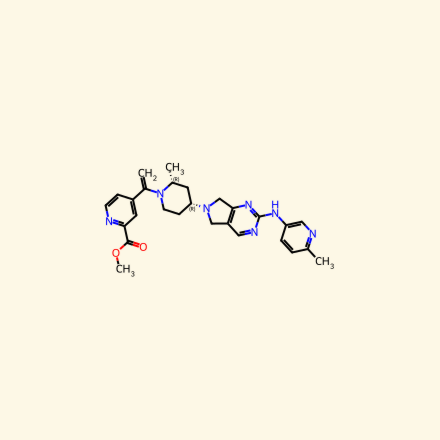 C=C(c1ccnc(C(=O)OC)c1)N1CC[C@@H](N2Cc3cnc(Nc4ccc(C)nc4)nc3C2)C[C@H]1C